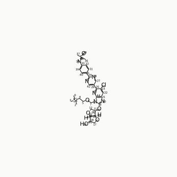 C[Si](C)(C)CCOCn1c(O[C@@H]2CO[C@H]3[C@@H]2OC[C@H]3O)nc2cc(Cl)c(-c3cnc(-c4ccc(N=S(C)(C)=O)cc4)nc3)nc21